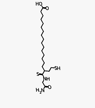 NC(=O)CNC(=S)C(CCS)CCCCCCCCCCCCCCCC(=O)O